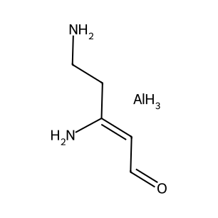 NCCC(N)=CC=O.[AlH3]